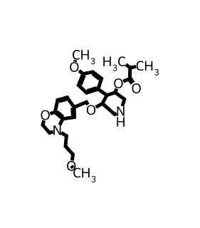 COCCCN1CCOc2ccc(COC3CNCC(OC(=O)C(C)C)C3c3ccc(OC)cc3)cc21